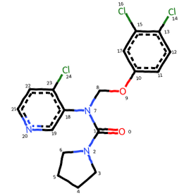 O=C(N1CCCC1)N(COc1ccc(Cl)c(Cl)c1)c1cnccc1Cl